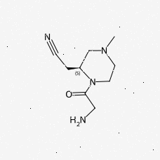 CN1CCN(C(=O)CN)[C@@H](CC#N)C1